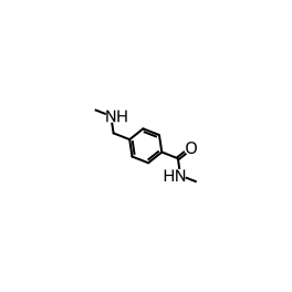 CNCc1ccc(C(=O)NC)cc1